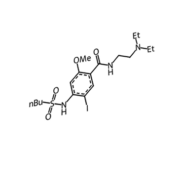 CCCCS(=O)(=O)Nc1cc(OC)c(C(=O)NCCN(CC)CC)cc1I